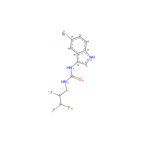 O=C(NCC(F)C(F)F)Nc1c[nH]c2ccc(Br)cc12